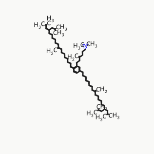 C=C(CCCCCCCCc1ccc(CCCCCCCCC(=C)CCCCCCC(CC(C)C)CC(C)C)c(CCC(=C)CCCN(C)C)c1)CCCCCCC(CC(C)C)CC(C)C